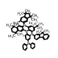 Cc1cc2c(cc1N1c3cc4c(cc3B3c5ccc(N(c6ccccc6)c6ccccc6)cc5N(c5ccc6c(c5)C(C)(C)c5ccccc5-6)c5cc(C(C)(C)C)cc1c53)C(C)(C)CCC4(C)C)C(C)(C)CC2(C)C